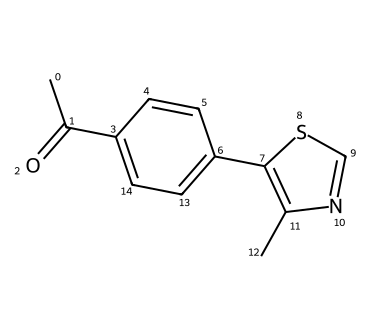 CC(=O)c1ccc(-c2scnc2C)cc1